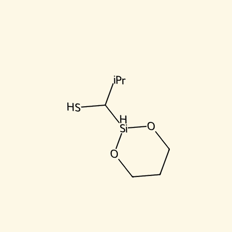 CC(C)C(S)[SiH]1OCCCO1